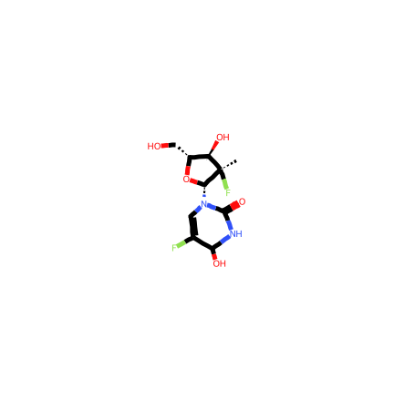 C[C@@]1(F)[C@H](O)[C@@H](CO)O[C@H]1N1C=C(F)C(O)NC1=O